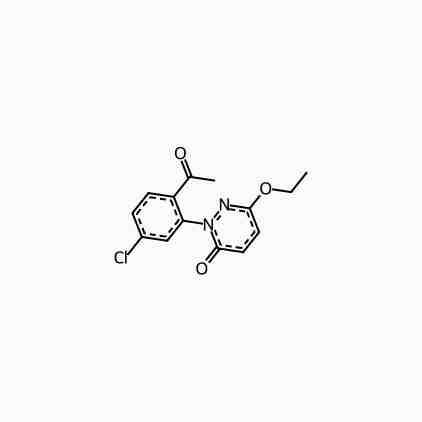 CCOc1ccc(=O)n(-c2cc(Cl)ccc2C(C)=O)n1